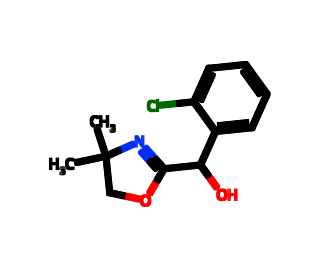 CC1(C)COC(C(O)c2ccccc2Cl)=N1